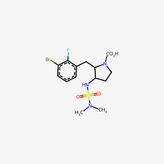 CN(C)S(=O)(=O)NC1CCN(C(=O)O)C1Cc1cccc(Br)c1F